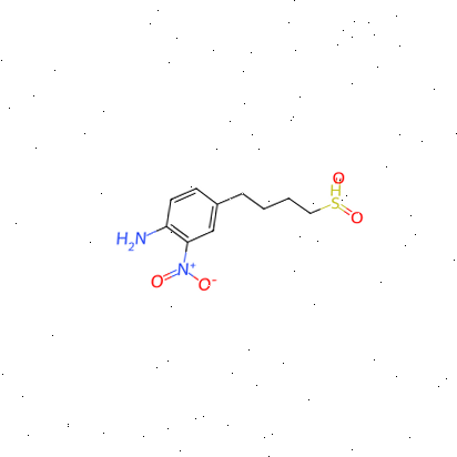 Nc1ccc(CCCC[SH](=O)=O)cc1[N+](=O)[O-]